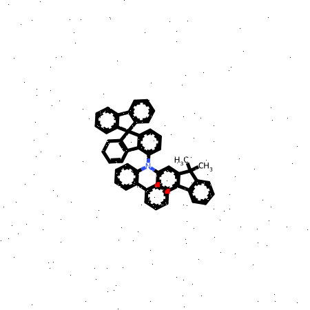 CC1(C)c2ccccc2-c2ccc(N(c3ccccc3-c3ccccc3)c3cccc4c3C3=C(CCC=C3)C43c4ccccc4-c4ccccc43)cc21